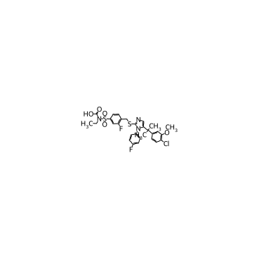 CCN(C(=O)O)S(=O)(=O)c1ccc(CSc2ncc(C(C)(C)c3ccc(Cl)c(OC)c3)n2-c2ccc(F)cc2)c(F)c1